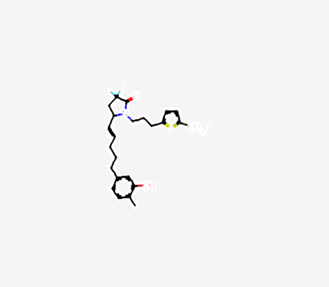 Cc1ccc(CCCC=CC2CC(F)(F)C(=O)N2CCCc2ccc(C(=O)O)s2)cc1O